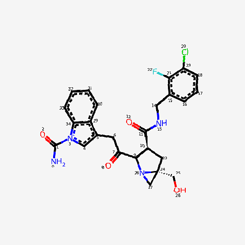 NC(=O)n1cc(CC(=O)C2[C@@H](C(=O)NCc3cccc(Cl)c3F)C[C@@]3(CO)CN23)c2ccccc21